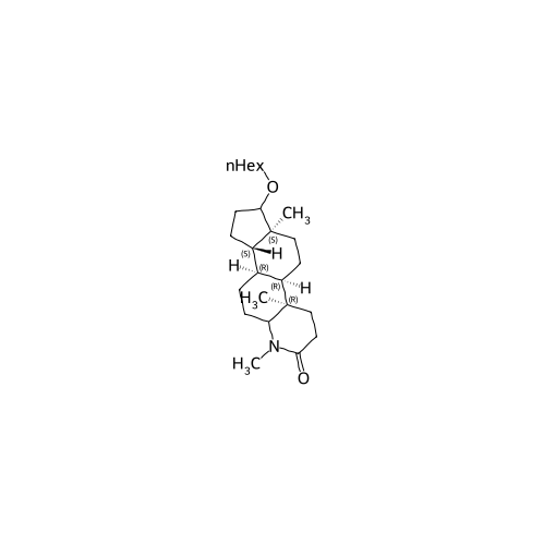 CCCCCCOC1CC[C@H]2[C@@H]3CCC4N(C)C(=O)CC[C@]4(C)[C@@H]3CC[C@]12C